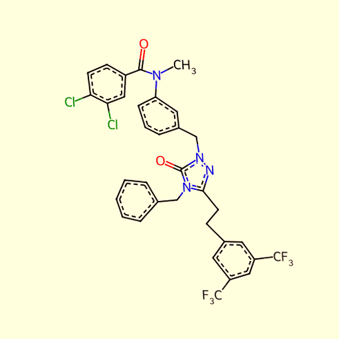 CN(C(=O)c1ccc(Cl)c(Cl)c1)c1cccc(Cn2nc(CCc3cc(C(F)(F)F)cc(C(F)(F)F)c3)n(Cc3ccccc3)c2=O)c1